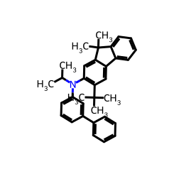 CC(C)N(c1cccc(-c2ccccc2)c1)c1cc2c(cc1C(C)(C)C)-c1ccccc1C2(C)C